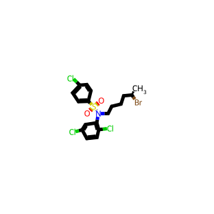 C[C@@H](Br)CCCCN(c1cc(Cl)ccc1Cl)S(=O)(=O)c1ccc(Cl)cc1